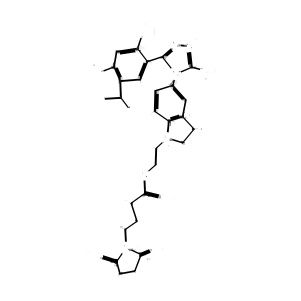 CC(C)c1cc(-c2nnc(S)n2-c2ccc3c(c2)CCN3CCNC(=O)CCCN2C(=O)CCC2=O)c(O)cc1O